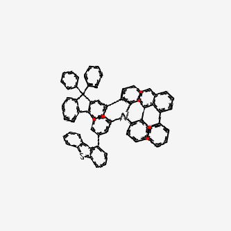 c1ccc(-c2cccc3cccc(-c4ccccc4N(c4cccc(-c5cccc6sc7ccccc7c56)c4)c4ccccc4-c4ccc5c(c4)C(c4ccccc4)(c4ccccc4)c4ccccc4-5)c23)cc1